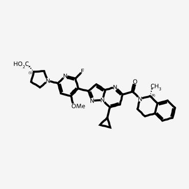 COc1cc(N2CC[C@H](C(=O)O)C2)nc(F)c1-c1cc2nc(C(=O)N3CCc4ccccc4[C@H]3C)cc(C3CC3)n2n1